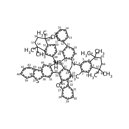 Cc1cc2c(cc1N1c3ccc(-c4ccccc4)cc3Bc3c1cc1c(oc4ccccc41)c3-c1cc3sc4ccccc4c3cc1Nc1ccc3c(c1)C(C)(C)CCC3(C)C)C(C)(C)CCC2(C)C